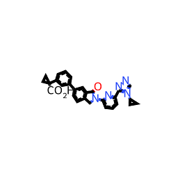 O=C1c2cc(-c3cccc(C4(C(=O)O)CC4)c3)ccc2CN1c1cccc(-c2nncn2C2CC2)n1